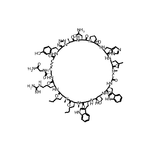 CCCC[C@H]1C(=O)N(C)[C@@H](CCCC)C(=O)N[C@@H](CCCNC(=N)N)C(=O)N[C@H](C(=O)NCC(N)=O)CSCC(=O)N[C@@H](Cc2ccc(O)cc2)c2nnnn2[C@@H](C)C(=O)N[C@@H](CC(N)=O)C(=O)N2CCC[C@H]2C(=O)N[C@@H](Cc2cnc[nH]2)C(=O)N[C@@H](CC(C)C)C(=O)N(C)CC(=O)N[C@@H](Cc2c[nH]c3ccccc23)C(=O)N[C@@H](CO)C(=O)N[C@@H](Cc2c[nH]c3ccccc23)C(=O)N1C